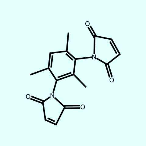 Cc1cc(C)c(N2C(=O)C=CC2=O)c(C)c1N1C(=O)C=CC1=O